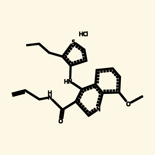 C=CCNC(=O)c1cnc2c(OC)cccc2c1Nc1ccsc1CCC.Cl